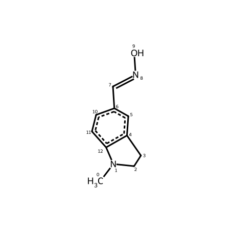 CN1CCc2cc(C=NO)ccc21